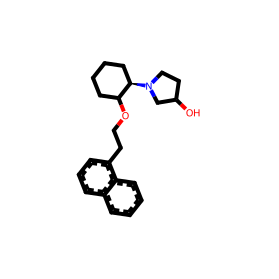 OC1CCN([C@@H]2CCCCC2OCCc2cccc3ccccc23)C1